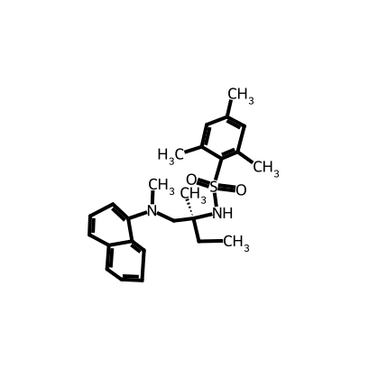 CC[C@@](C)(CN(C)c1cccc2ccccc12)NS(=O)(=O)c1c(C)cc(C)cc1C